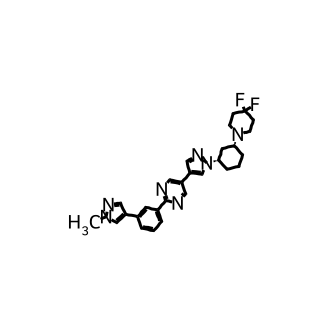 Cn1cc(-c2cccc(-c3ncc(-c4cnn([C@H]5CCC[C@@H](N6CCC(F)(F)CC6)C5)c4)cn3)c2)cn1